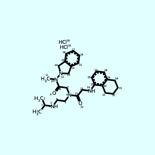 CC(C)NCCN(CC(=O)N(C)N1Cc2ccccc2C1)C(=O)CNc1cccc2c1CCCC2.Cl.Cl